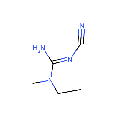 [CH2]CN(C)C(N)=NC#N